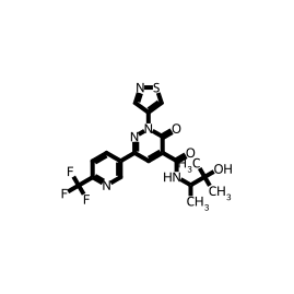 CC(NC(=O)c1cc(-c2ccc(C(F)(F)F)nc2)nn(-c2cnsc2)c1=O)C(C)(C)O